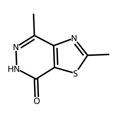 Cc1nc2c(C)n[nH]c(=O)c2s1